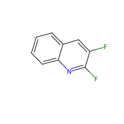 Fc1cc2c[c]ccc2nc1F